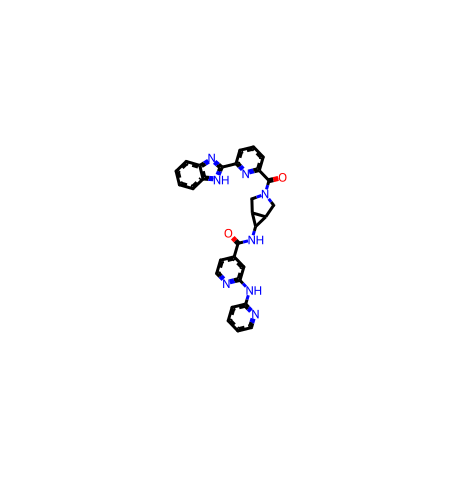 O=C(NC1C2CN(C(=O)c3cccc(-c4nc5ccccc5[nH]4)n3)CC21)c1ccnc(Nc2ccccn2)c1